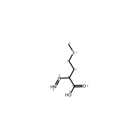 CSCCC(N=N)C(=O)O